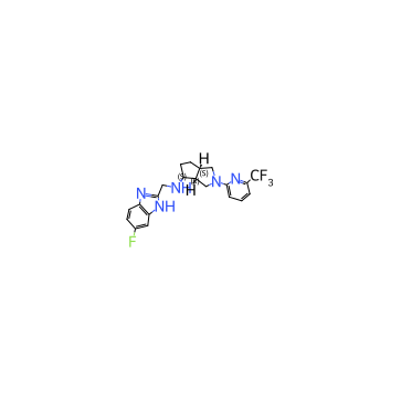 Fc1ccc2nc(CN[C@H]3CC[C@@H]4CN(c5cccc(C(F)(F)F)n5)C[C@@H]43)[nH]c2c1